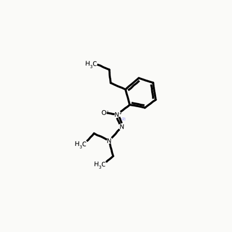 CCCc1ccccc1/[N+]([O-])=N/N(CC)CC